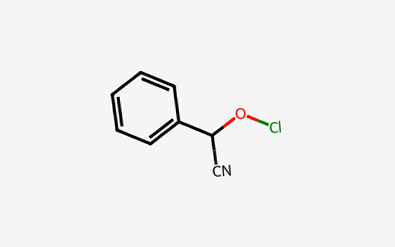 N#CC(OCl)c1ccccc1